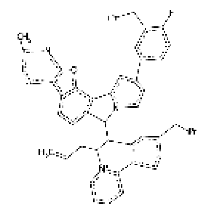 C=CCC1C(C2c3ccc4c(oc5nc(C)ccc54)c3-c3cc(-c4ccc(F)c(CC(C)C)c4)cc[n+]32)c2cc(CC(C)C)ccc2-c2cccc[n+]21